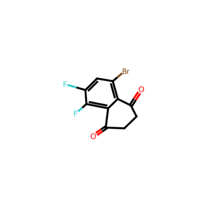 O=C1CCC(=O)c2c(F)c(F)cc(Br)c21